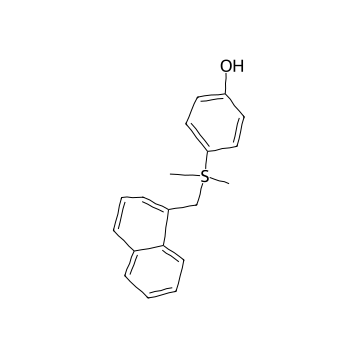 CS(C)(Cc1cccc2ccccc12)c1ccc(O)cc1